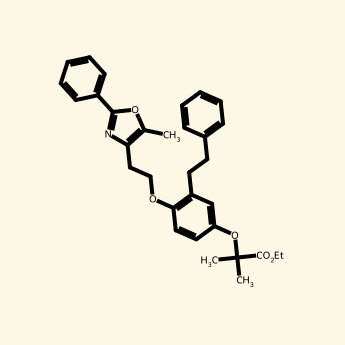 CCOC(=O)C(C)(C)Oc1ccc(OCCc2nc(-c3ccccc3)oc2C)c(CCc2ccccc2)c1